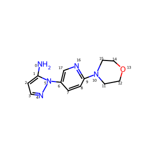 Nc1ccnn1-c1ccc(N2CCOCC2)nc1